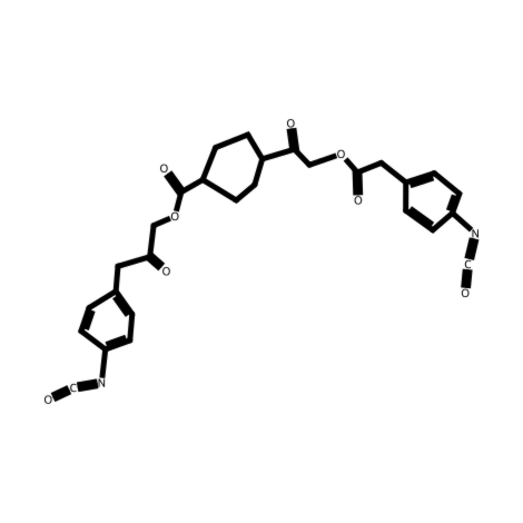 O=C=Nc1ccc(CC(=O)COC(=O)C2CCC(C(=O)COC(=O)Cc3ccc(N=C=O)cc3)CC2)cc1